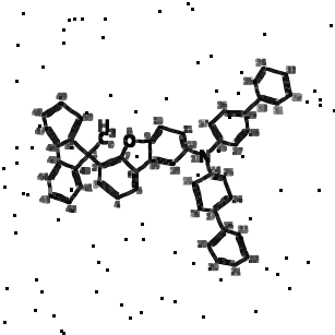 CC1(c2cccc3c2oc2ccc(N(c4ccc(-c5ccccc5)cc4)c4ccc(-c5ccccc5)cc4)cc23)c2ccccc2-c2ccccc21